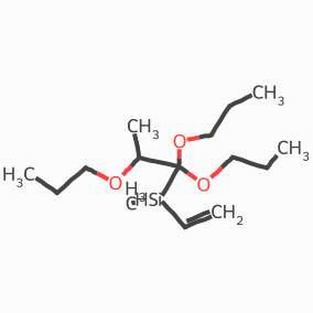 C=C[SiH](C)C(OCCC)(OCCC)C(C)OCCC